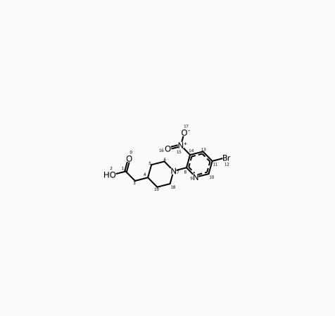 O=C(O)CC1CCN(c2ncc(Br)cc2[N+](=O)[O-])CC1